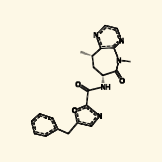 C[C@H]1C[C@@H](NC(=O)c2ncc(Cc3ccccc3)o2)C(=O)N(C)c2nccnc21